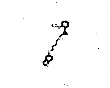 CSc1ccccc1C1CC1CNCCCCOc1ccc2scnc2c1